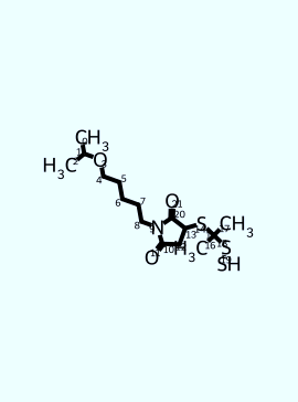 CC(C)OCCCCCN1C(=O)CC(SC(C)(C)SS)C1=O